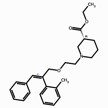 CCOC(=O)[C@@H]1CCCN(CCOC/C(=C/c2ccccc2)c2ccccc2C)C1